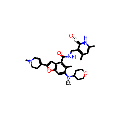 CCN(c1cc2oc(C3=CCN(C)CC3)cc2c(C(=O)NCC2=C(C)C=C(C)NC2=C=O)c1C)C1CCOCC1